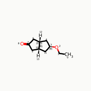 CCO[C@@H]1C[C@H]2CC(=O)C[C@H]2C1